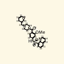 COc1cc(NS(=O)(=O)c2cccc3cccnc23)ccc1C(=O)N1CCN(CC2C=NC=CC2)CC1